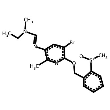 CCN(C)/C=N/c1cc(Br)c(OCc2ccccc2[S+](C)[O-])nc1C